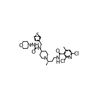 Cc1cc(Cl)nc(Cl)c1C(=O)NCC[C@@H](C)N1CCC(N(Cc2ccsc2)C(=O)NN2CCOCC2)CC1